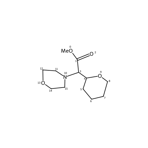 COC(=O)C(C1CCCCO1)N1CCOCC1